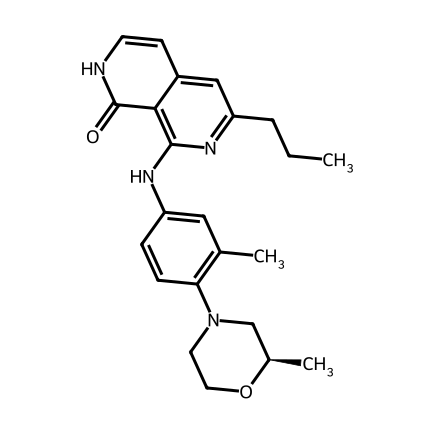 CCCc1cc2cc[nH]c(=O)c2c(Nc2ccc(N3CCO[C@H](C)C3)c(C)c2)n1